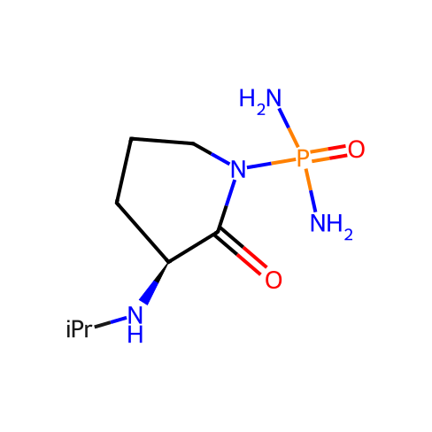 CC(C)N[C@H]1CCCN(P(N)(N)=O)C1=O